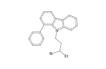 CCC(Br)CCn1c2ccccc2c2cccc(-c3ccccc3)c21